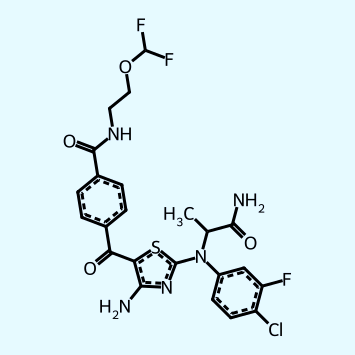 CC(C(N)=O)N(c1ccc(Cl)c(F)c1)c1nc(N)c(C(=O)c2ccc(C(=O)NCCOC(F)F)cc2)s1